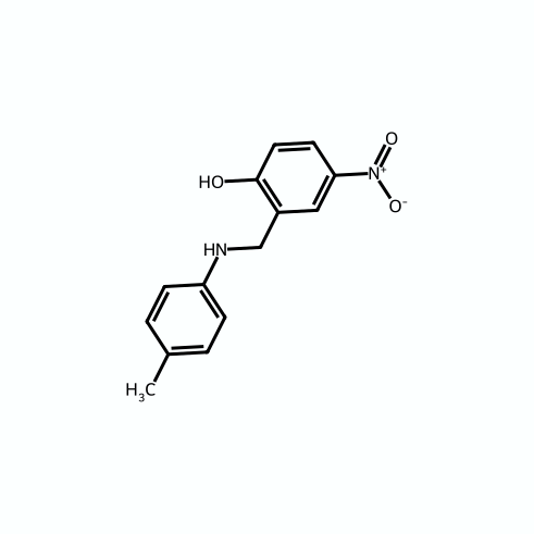 Cc1ccc(NCc2cc([N+](=O)[O-])ccc2O)cc1